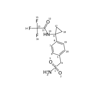 NS(=O)(=O)Cc1ccc(C2(NC(=O)C(F)(F)F)CC2)cc1